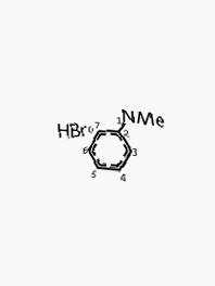 Br.CNc1ccccc1